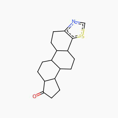 O=C1CCC2C1CCC1C3CCc4ncsc4C3CCC21